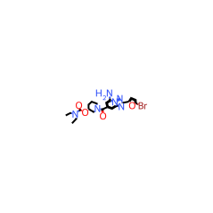 CCN(CC)C(=O)OC1CCCN(C(=O)c2cc(N)n3nc(-c4ccc(Br)o4)nc3c2)C1